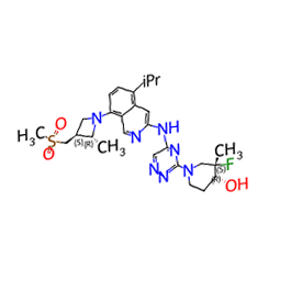 CC(C)c1ccc(N2C[C@H](CS(C)(=O)=O)[C@H]2C)c2cnc(Nc3cnnc(N4CC[C@@H](O)[C@@](C)(F)C4)n3)cc12